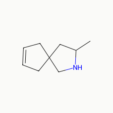 CC1CC2(CC=CC2)CN1